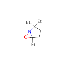 CCC1(CC)CCC2(CC)ON12